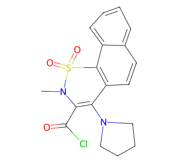 CN1C(C(=O)Cl)=C(N2CCCC2)c2ccc3ccccc3c2S1(=O)=O